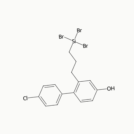 Oc1ccc(-c2ccc(Cl)cc2)c(CCC[Si](Br)(Br)Br)c1